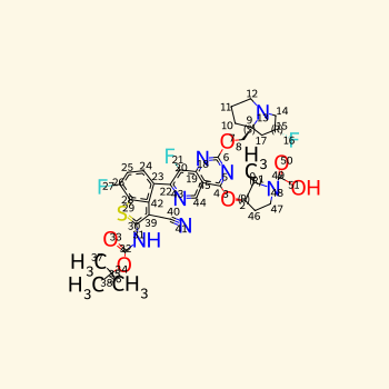 C[C@@H]1[C@H](Oc2nc(OC[C@@]34CCCN3C[C@H](F)C4)nc3c(F)c(-c4ccc(F)c5sc(NC(=O)OC(C)(C)C)c(C#N)c45)ncc23)CCN1C(=O)O